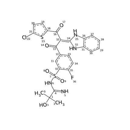 CC(C)(O)C(=N)NS(=O)(=O)c1cc(C(=O)C(C(=O)c2ccc(Cl)s2)=C2Nc3ccccc3N2)ccc1F